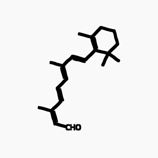 CC(C=CC1=C(C)CCCC1(C)C)=CC=C/C(C)=C\C=O